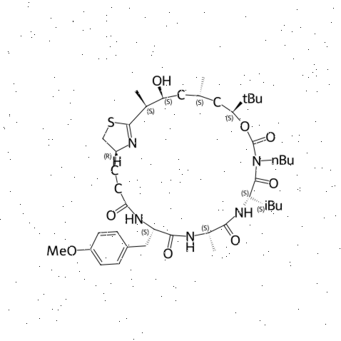 CCCCN1C(=O)O[C@H](C(C)(C)C)C[C@@H](C)C[C@H](O)[C@H](C)C2=N[C@H](CCC(=O)N[C@@H](Cc3ccc(OC)cc3)C(=O)N[C@@H](C)C(=O)N[C@@H]([C@@H](C)CC)C1=O)CS2